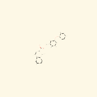 CC(C)C(/C=C(/F)c1ccccc1)C(=O)OCc1cccc(Oc2ccccc2)c1